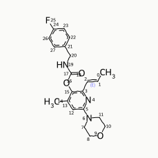 C/C=C/c1nc(N2CCOCC2)cc(C)c1OC(=O)NCc1ccc(F)cc1